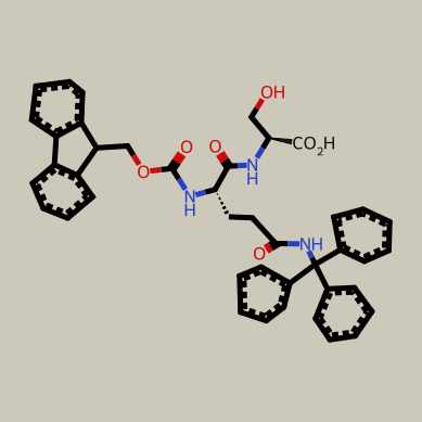 O=C(CC[C@H](NC(=O)OCC1c2ccccc2-c2ccccc21)C(=O)N[C@@H](CO)C(=O)O)NC(c1ccccc1)(c1ccccc1)c1ccccc1